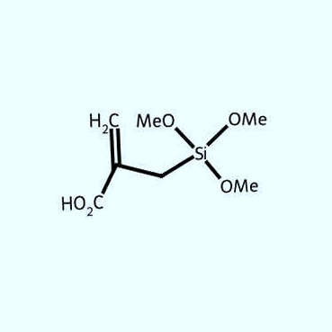 C=C(C[Si](OC)(OC)OC)C(=O)O